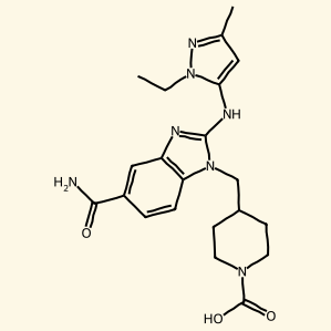 CCn1nc(C)cc1Nc1nc2cc(C(N)=O)ccc2n1CC1CCN(C(=O)O)CC1